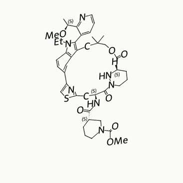 CCn1c(-c2cccnc2[C@H](C)OC)c2c3cc(ccc31)-c1csc(n1)C[C@H](NC(=O)[C@H]1CCCN(C(=O)OC)C1)C(=O)N1CCC[C@H](N1)C(=O)OCC(C)(C)C2